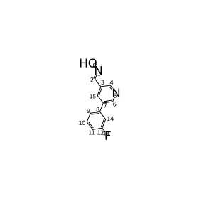 O/N=C/c1cncc(-c2cccc(F)c2)c1